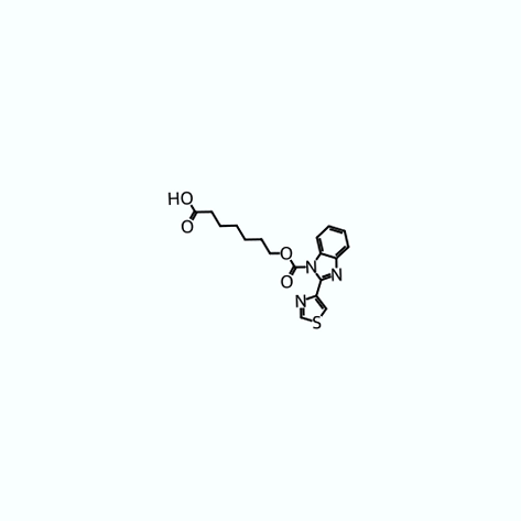 O=C(O)CCCCCCOC(=O)n1c(-c2cscn2)nc2ccccc21